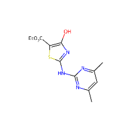 CCOC(=O)c1sc(Nc2nc(C)cc(C)n2)nc1O